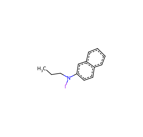 CCCN(I)c1ccc2ccccc2c1